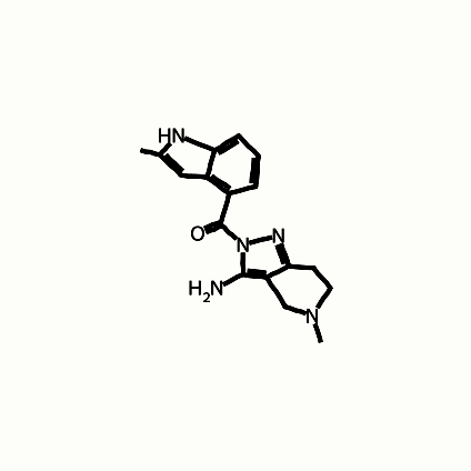 Cc1cc2c(C(=O)n3nc4c(c3N)CN(C)CC4)cccc2[nH]1